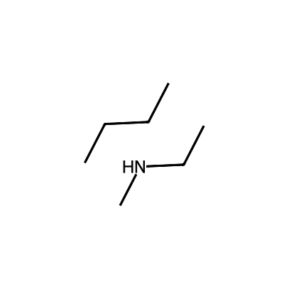 CCCC.CCNC